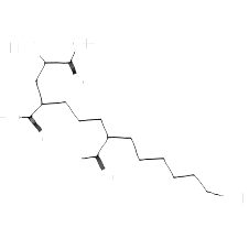 CCCCCCCC(CCCC(CC(C)C(=O)O)C(=O)O)C(=O)O